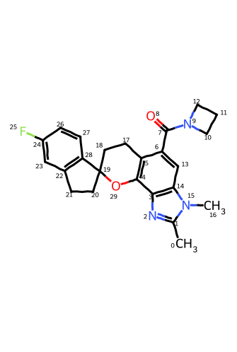 Cc1nc2c3c(c(C(=O)N4CCC4)cc2n1C)CCC1(CCc2cc(F)ccc21)O3